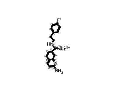 CC(NCCc1ccc(F)cc1)c1ccc2ccc(N)nc2c1.Cl.Cl